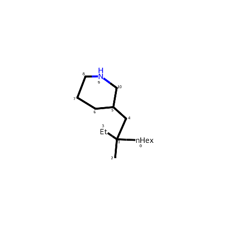 CCCCCCC(C)(CC)CC1CCCNC1